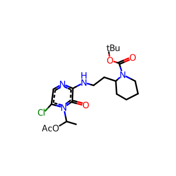 CC(=O)OC(C)n1c(Cl)cnc(NCCC2CCCCN2C(=O)OC(C)(C)C)c1=O